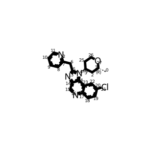 C[C@@H]1C[C@H](n2c(Cc3ccccn3)nc3cnc4ccc(Cl)cc4c32)CCO1